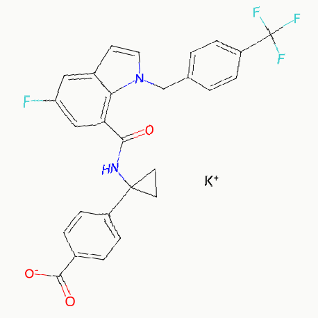 O=C([O-])c1ccc(C2(NC(=O)c3cc(F)cc4ccn(Cc5ccc(C(F)(F)F)cc5)c34)CC2)cc1.[K+]